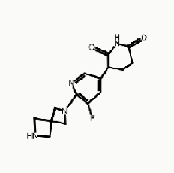 O=C1CCC(c2cnc(N3CC4(CNC4)C3)c(F)c2)C(=O)N1